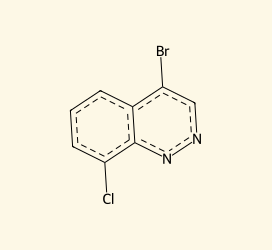 Clc1cccc2c(Br)cnnc12